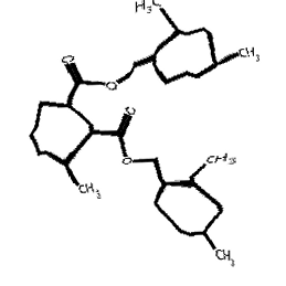 CC1CCC(COC(=O)C2CCCC(C)C2C(=O)OCC2CCC(C)CC2C)C(C)C1